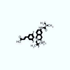 C[C@@H]1Cc2cc(NC(=O)N(C)C)ccc2[C@@H](c2c(F)cc(/C=C/C(=O)O)cc2F)N1CC(C)(C)F